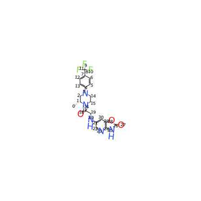 C[C@@H]1CN(c2ccc(C(F)(F)F)cc2)CCN1C(=O)CNc1cnc2[nH]c(=O)oc2c1